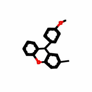 COc1ccc(C2c3ccccc3Oc3ccc(C)cc32)cc1